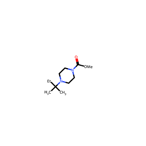 CCC(C)(C)N1CCN(C(=O)OC)CC1